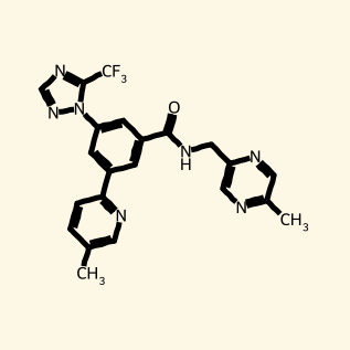 Cc1ccc(-c2cc(C(=O)NCc3cnc(C)cn3)cc(-n3ncnc3C(F)(F)F)c2)nc1